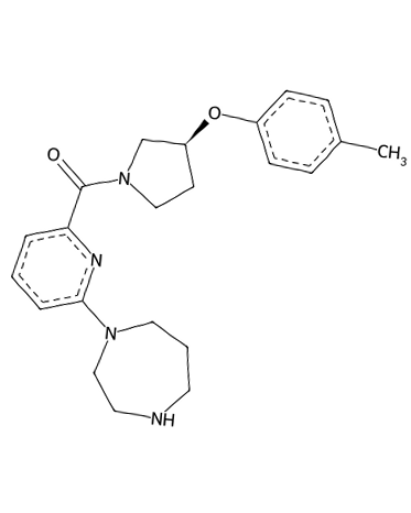 Cc1ccc(O[C@H]2CCN(C(=O)c3cccc(N4CCCNCC4)n3)C2)cc1